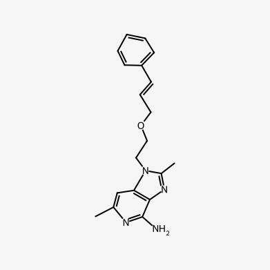 Cc1cc2c(nc(C)n2CCOCC=Cc2ccccc2)c(N)n1